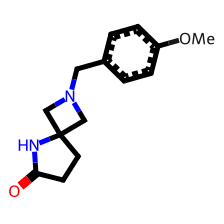 COc1ccc(CN2CC3(CCC(=O)N3)C2)cc1